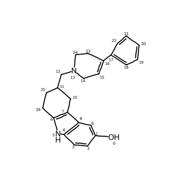 Oc1ccc2[nH]c3c(c2c1)CC(CN1CC=C(c2ccccc2)CC1)CC3